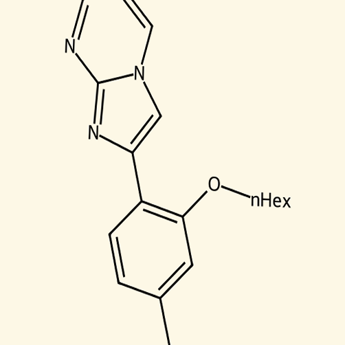 CCCCCCOc1cc(C)ccc1-c1cn2cccnc2n1